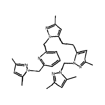 Cc1cc(C)n(Cc2cccc(Cn3nc(C)cc3CCc3cc(C)nn3Cn3nc(C)cc3C)n2)n1